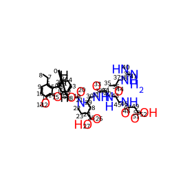 C=C1CC[C@]23c4c(CC)ccc(OC)c4O[C@@H]2C(OC(=O)N2CCC(C(=O)O)CC2CNC(=O)[C@H](CCCNC(=N)N)NC(=O)CNC(=O)CC(=O)O)=CC[C@@H]13